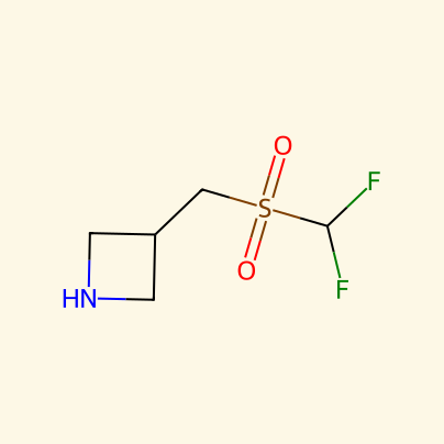 O=S(=O)(CC1CNC1)C(F)F